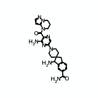 NC(=O)c1ccc2c(c1)C(N)C1(CCN(c3cnc(C(=O)N4CCCn5nccc54)c(N)n3)CC1)C2